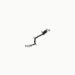 C#C[CH]CO